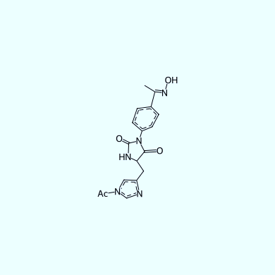 CC(=O)n1cnc(CC2NC(=O)N(c3ccc(/C(C)=N/O)cc3)C2=O)c1